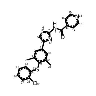 Cc1cc(-c2csc(NC(=O)c3ccncc3)n2)cc(C)c1Sc1ccccc1Cl